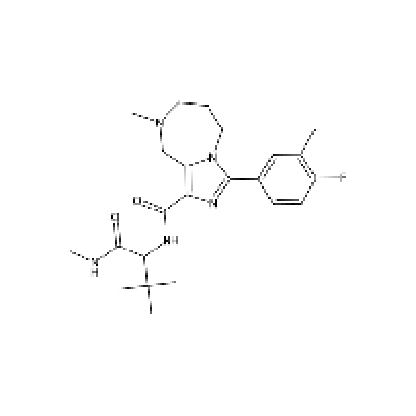 CNC(=O)C(NC(=O)c1nc(-c2ccc(F)c(C)c2)n2c1CN(C)CCC2)C(C)(C)C